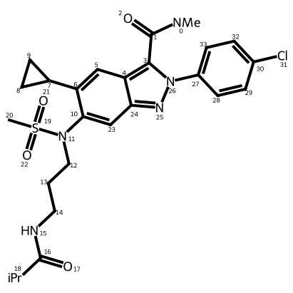 CNC(=O)c1c2cc(C3CC3)c(N(CCCNC(=O)C(C)C)S(C)(=O)=O)cc2nn1-c1ccc(Cl)cc1